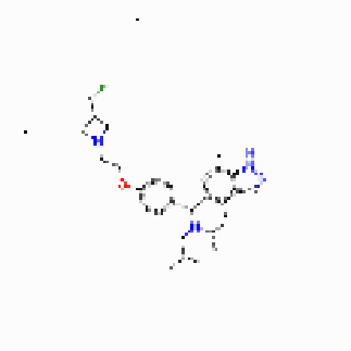 CC(C)CN1[C@H](c2ccc(OCCN3CC(CF)C3)cc2)c2ccc3[nH]ncc3c2C[C@H]1C